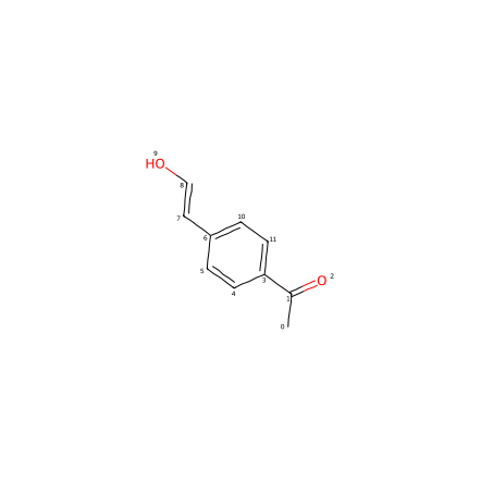 CC(=O)c1ccc(/C=C/O)cc1